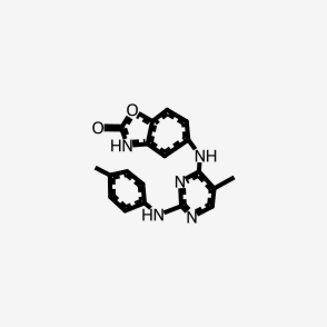 Cc1ccc(Nc2ncc(C)c(Nc3ccc4oc(=O)[nH]c4c3)n2)cc1